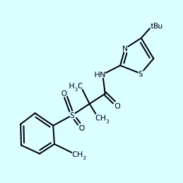 Cc1ccccc1S(=O)(=O)C(C)(C)C(=O)Nc1nc(C(C)(C)C)cs1